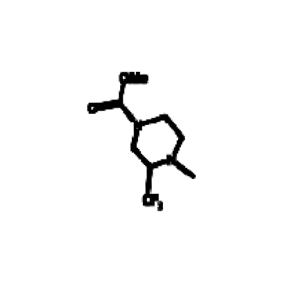 COC(=O)N1CCN(C)C(C(F)(F)F)C1